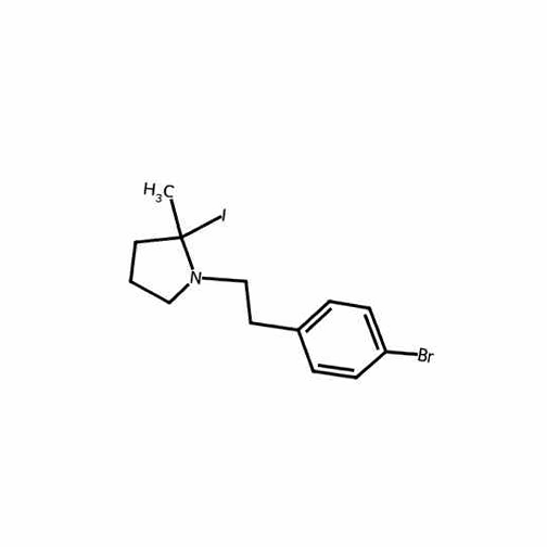 CC1(I)CCCN1CCc1ccc(Br)cc1